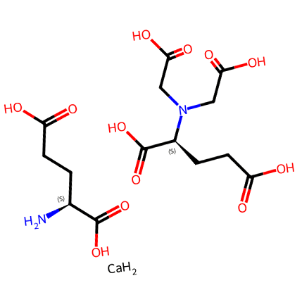 N[C@@H](CCC(=O)O)C(=O)O.O=C(O)CC[C@@H](C(=O)O)N(CC(=O)O)CC(=O)O.[CaH2]